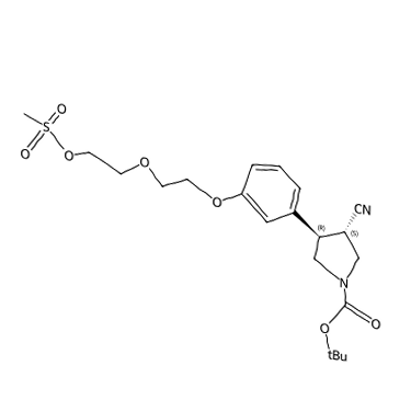 CC(C)(C)OC(=O)N1C[C@@H](C#N)[C@H](c2cccc(OCCOCCOS(C)(=O)=O)c2)C1